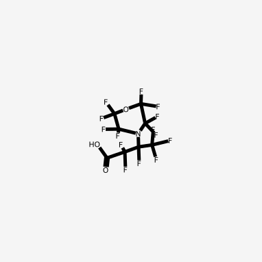 O=C(O)C(F)(F)C(F)(N1C(F)(F)C(F)(F)OC(F)(F)C1(F)F)C(F)(F)F